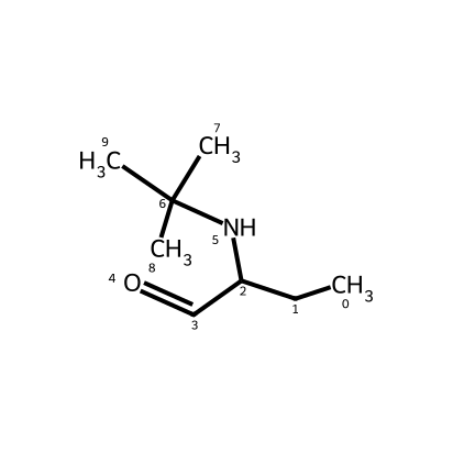 CCC(C=O)NC(C)(C)C